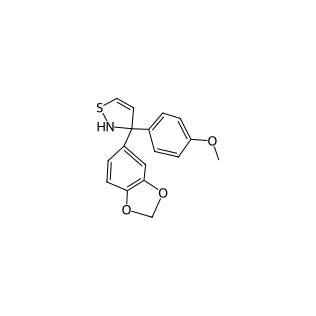 COc1ccc(C2(c3ccc4c(c3)OCO4)C=CSN2)cc1